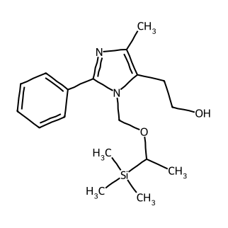 Cc1nc(-c2ccccc2)n(COC(C)[Si](C)(C)C)c1CCO